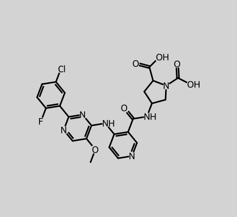 COc1cnc(-c2cc(Cl)ccc2F)nc1Nc1ccncc1C(=O)NC1CC(C(=O)O)N(C(=O)O)C1